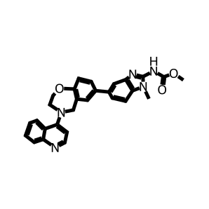 COC(=O)Nc1nc2cc(-c3ccc4c(c3)CN(c3ccnc5ccccc35)CCO4)ccc2n1C